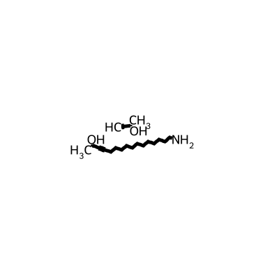 C#CC(C)O.CC(O)C#CCCCCCCCCCCCCN